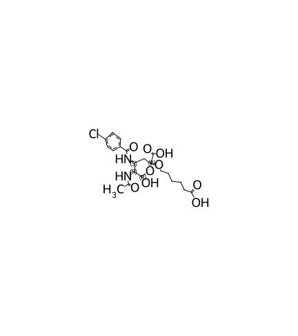 CC(=O)N[C@@H]1[C@@H](NC(=O)c2ccc(Cl)cc2)C[C@](OCCCCCC(=O)O)(C(=O)O)O[C@H]1O